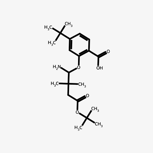 CC(C)(C)OC(=O)CC(C)(C)C(N)Oc1cc(C(C)(C)C)ccc1C(=O)O